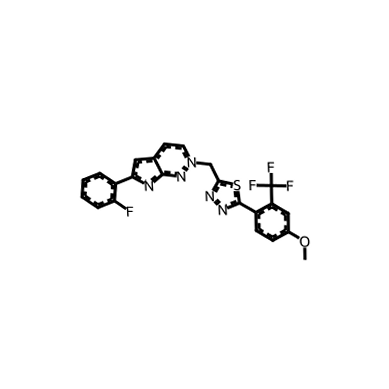 COc1ccc(-c2nnc(Cn3ccc4cc(-c5ccccc5F)nc-4n3)s2)c(C(F)(F)F)c1